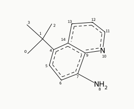 CC(C)(C)c1ccc(N)c2ncccc12